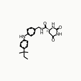 CCC(C)(C)c1ccc(Nc2ccc(CNC(=O)[C@@H]3CC(=O)NC(=O)N3)cc2)cc1